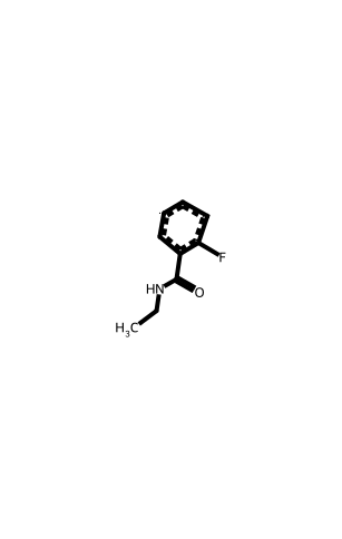 CCNC(=O)c1c[c]ccc1F